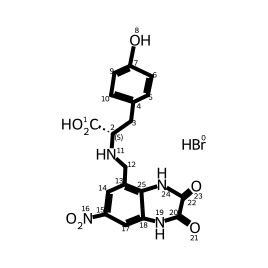 Br.O=C(O)[C@H](Cc1ccc(O)cc1)NCc1cc([N+](=O)[O-])cc2[nH]c(=O)c(=O)[nH]c12